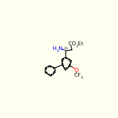 CCOC(=O)C[C@H](N)c1cc(OC(F)(F)F)cc(-c2ccccc2)c1